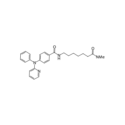 CNC(=O)CCCCCCNC(=O)c1ccc(N(c2ccccc2)c2ccccn2)cc1